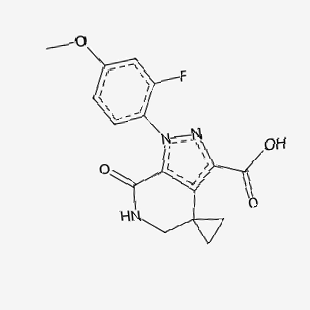 COc1ccc(-n2nc(C(=O)O)c3c2C(=O)NCC32CC2)c(F)c1